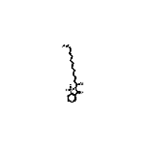 CSCCCCCCCCCCC(O)N1C(=O)C2=C(CCCC2)S1(=O)=O